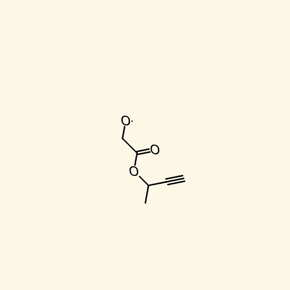 C#CC(C)OC(=O)C[O]